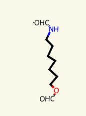 O=[C]NCCCCCCCOC=O